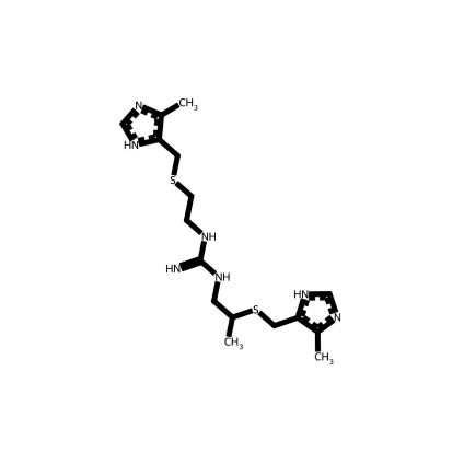 Cc1nc[nH]c1CSCCNC(=N)NCC(C)SCc1[nH]cnc1C